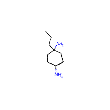 CCCC1(N)CCC(N)CC1